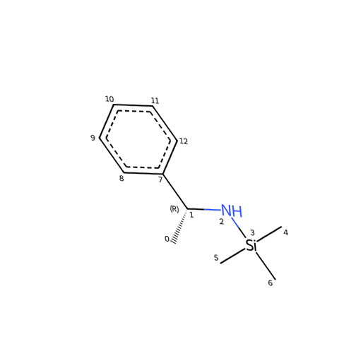 C[C@@H](N[Si](C)(C)C)c1ccccc1